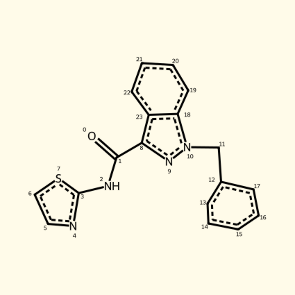 O=C(Nc1nccs1)c1nn(Cc2ccccc2)c2ccccc12